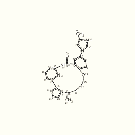 Cc1cn(-c2ccc3c(c2)C(=O)Nc2cccc(n2)-c2nncn2[C@H](C)CCCO3)cn1